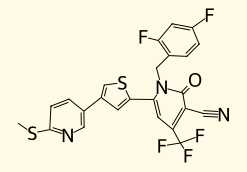 CSc1ccc(-c2csc(-c3cc(C(F)(F)F)c(C#N)c(=O)n3Cc3ccc(F)cc3F)c2)cn1